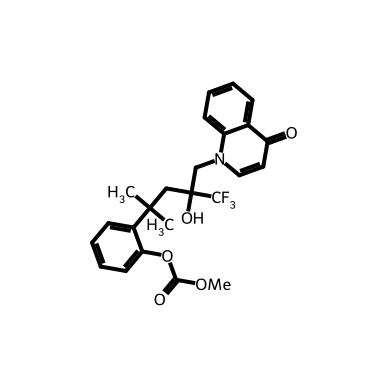 COC(=O)Oc1ccccc1C(C)(C)CC(O)(Cn1ccc(=O)c2ccccc21)C(F)(F)F